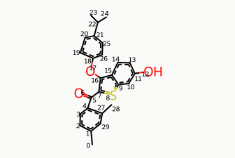 Cc1ccc(C(=O)c2sc3cc(O)ccc3c2Oc2ccc(C(C)C)cc2)c(C)c1